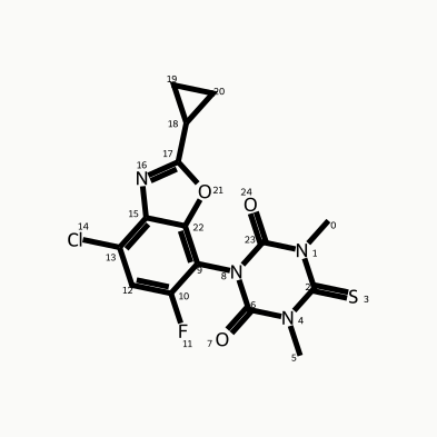 Cn1c(=S)n(C)c(=O)n(-c2c(F)cc(Cl)c3nc(C4CC4)oc23)c1=O